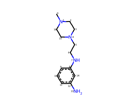 CN1CCN(CCNc2cccc(N)c2)CC1